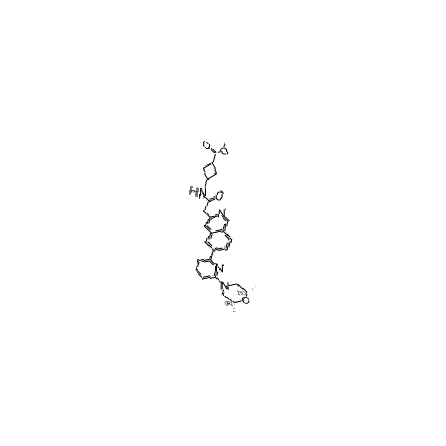 COC(=O)C1CC(NC(=O)Cc2cc3cc(-c4cccc(N5C[C@@H](C)O[C@@H](C)C5)n4)ccc3cn2)C1